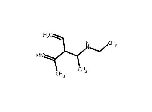 C=CC(C(C)=N)C(C)NCC